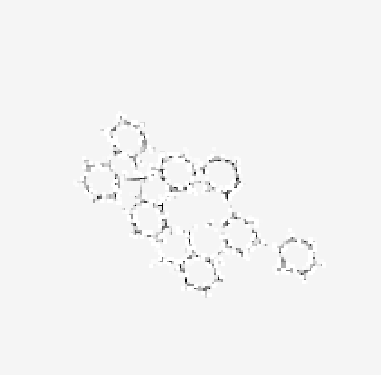 c1ccc(-c2nc(-c3ccccn3)nc(-c3cccc4c3Oc3c(ccc5c3-c3ccccc3C5(c3ccccc3)c3ccccc3)O4)n2)cc1